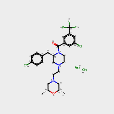 C[C@@H]1CN(CCN2CCN(C(=O)c3cc(Cl)cc(C(F)(F)F)c3)[C@H](Cc3ccc(Cl)cc3)C2)C[C@H](C)O1.Cl.Cl